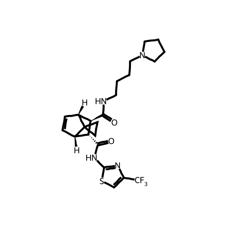 O=C(NCCCCN1CCCC1)[C@H]1[C@H](C(=O)Nc2nc(C(F)(F)F)cs2)[C@@H]2C=C[C@H]1C21CC1